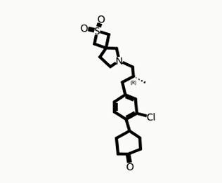 C[C@H](Cc1ccc(C2CCC(=O)CC2)c(Cl)c1)CN1CCC2(C1)CS(=O)(=O)C2